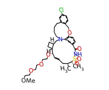 COCCOCCOCCO[C@H]1/C=C/C[C@H](C)[C@@H](C)S(=O)(=O)NC(=O)c2ccc3c(c2)N(CCCCc2cc(Cl)ccc2CO3)C[C@@H]2CC[C@H]21